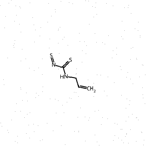 C=CCNC(=S)N=S